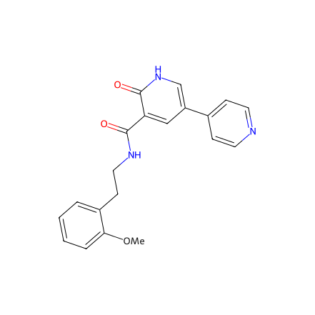 COc1ccccc1CCNC(=O)c1cc(-c2ccncc2)c[nH]c1=O